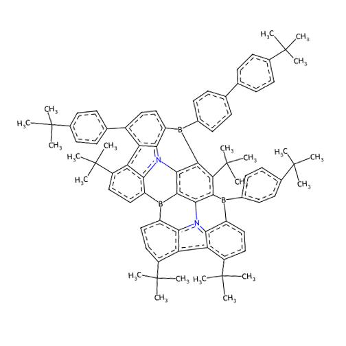 CC(C)(C)c1ccc(B2c3c4c5c6c(c3C(C)(C)C)B(c3ccc(-c7ccc(C(C)(C)C)cc7)cc3)c3ccc(-c7ccc(C(C)(C)C)cc7)c7c8c(C(C)(C)C)ccc(c8n-6c37)B5c3ccc(C(C)(C)C)c5c6c(C(C)(C)C)ccc2c6n-4c35)cc1